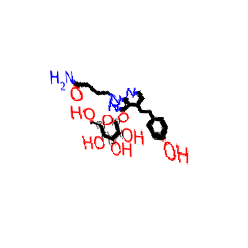 NC(=O)CCCn1nc(O[C@@H]2O[C@H](CO)[C@@H](O)[C@H](O)[C@H]2O)c2c(CCc3ccc(O)cc3)ccnc21